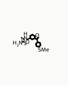 CSc1ccc(-c2coc3ccc(C(=O)NN(C)C(N)=S)cc23)cc1